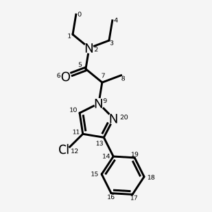 CCN(CC)C(=O)C(C)n1cc(Cl)c(-c2ccccc2)n1